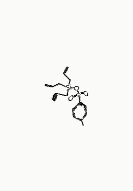 C=CC[Si](CC=C)(CC=C)OS(=O)(=O)c1ccc(C)cc1